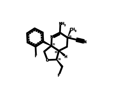 C[C@]1(C#N)C[C@@H]2[C@@H](CF)OC[C@]2(c2ccccc2F)N=C1N